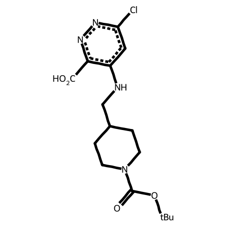 CC(C)(C)OC(=O)N1CCC(CNc2cc(Cl)nnc2C(=O)O)CC1